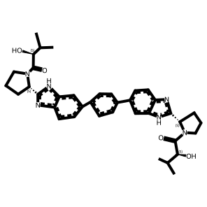 CC(C)[C@H](O)C(=O)N1CCC[C@H]1c1nc2ccc(-c3ccc(-c4ccc5nc([C@@H]6CCCN6C(=O)[C@@H](O)C(C)C)[nH]c5c4)cc3)cc2[nH]1